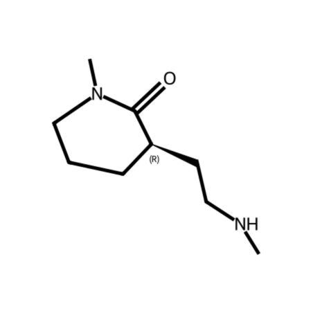 CNCC[C@H]1CCCN(C)C1=O